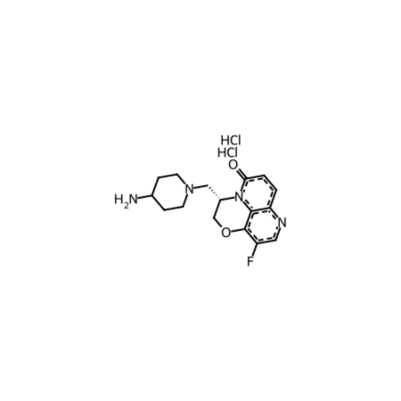 Cl.Cl.NC1CCN(C[C@H]2COc3c(F)cnc4ccc(=O)n2c34)CC1